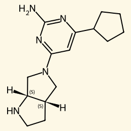 Nc1nc(C2CCCC2)cc(N2C[C@@H]3CCN[C@@H]3C2)n1